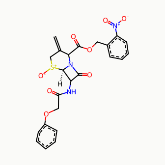 C=C1C[S+]([O-])[C@@H]2C(NC(=O)COc3ccccc3)C(=O)N2C1C(=O)OCc1ccccc1[N+](=O)[O-]